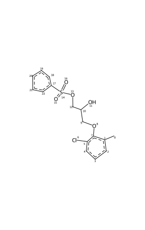 Cc1cccc(Cl)c1OCC(O)COS(=O)(=O)c1ccccc1